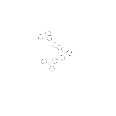 c1ccc(-n2c3ccccc3c3cc(-c4ccc5c6ccccc6n(-c6ccc7cc(-c8cc9c%10c(cccc%10c8)-c8ccccc8-9)ccc7c6)c5c4)ccc32)cc1